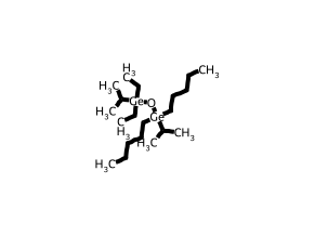 CCCC[CH2][Ge]([CH2]CCCC)([O][Ge]([CH2]C)([CH2]C)[CH](C)C)[CH](C)C